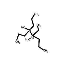 CCC[C@](C)(CC)[Si](O)(CCC)CCC